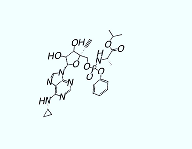 C#C[C@]1(COP(=O)(N[C@@H](C)C(=O)OC(C)C)Oc2ccccc2)O[C@@H](n2cnc3c(NC4CC4)ncnc32)C(O)C1O